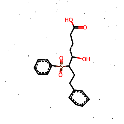 O=C(O)CCCC(O)C(CCc1ccccc1)S(=O)(=O)c1ccccc1